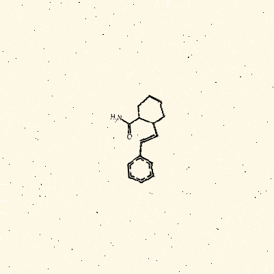 NC(=O)C1CCCCC1C=Cc1ccccc1